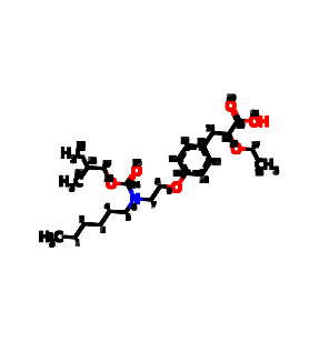 CCCCCCN(CCOc1ccc(CC(OCC)C(=O)O)cc1)C(=O)OCC(C)C